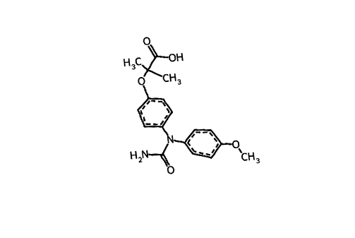 COc1ccc(N(C(N)=O)c2ccc(OC(C)(C)C(=O)O)cc2)cc1